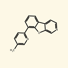 Cc1ccc(-c2cccc3c2oc2cnccc23)nc1